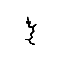 CCC(C)CCCC(C)[CH2][Mg][I]